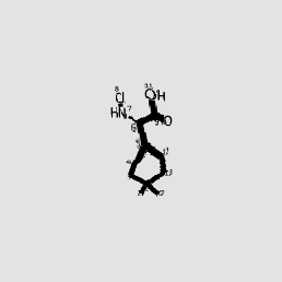 CC1(C)CCC([C@H](NCl)C(=O)O)CC1